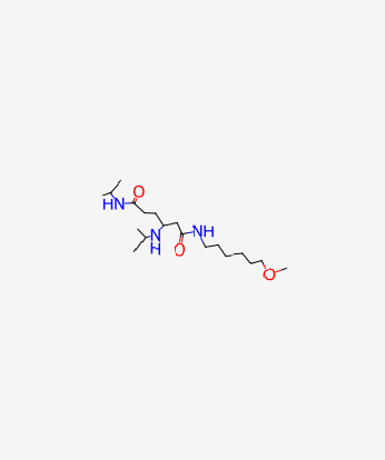 COCCCCCCNC(=O)CC(CCC(=O)NC(C)C)NC(C)C